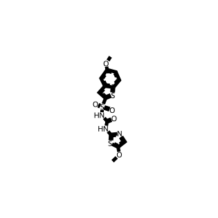 COc1ccc2sc(S(=O)(=O)NC(=O)Nc3ncc(OC)s3)cc2c1